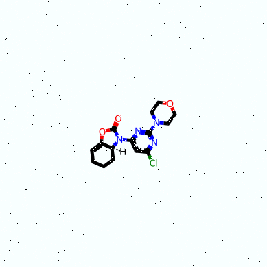 O=C1OC2=CCCC[C@@H]2N1c1cc(Cl)nc(N2CCOCC2)n1